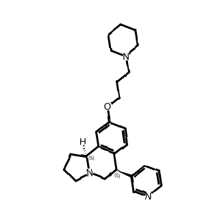 c1cncc([C@H]2CN3CCC[C@H]3c3cc(OCCCN4CCCCC4)ccc32)c1